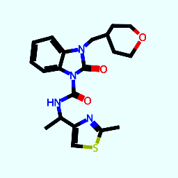 Cc1nc(C(C)NC(=O)n2c(=O)n(CC3CCOCC3)c3ccccc32)cs1